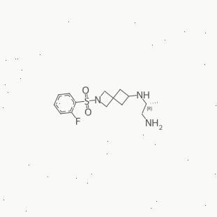 C[C@H](CN)NC1CC2(C1)CN(S(=O)(=O)c1ccccc1F)C2